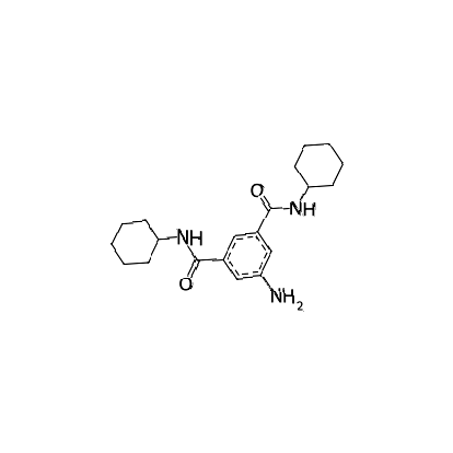 Nc1cc(C(=O)NC2CCCCC2)cc(C(=O)NC2CCCCC2)c1